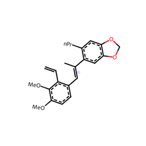 C=Cc1c(/C=C(\C)c2cc3c(cc2CCC)OCO3)ccc(OC)c1OC